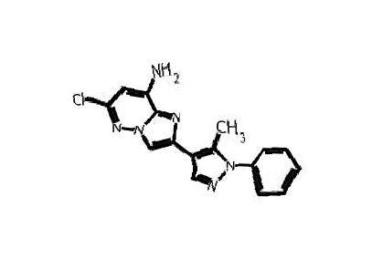 Cc1c(-c2cn3nc(Cl)cc(N)c3n2)cnn1-c1ccccc1